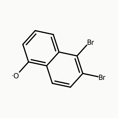 [O]c1cccc2c(Br)c(Br)ccc12